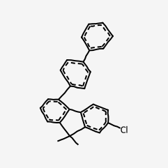 CC1(C)c2cc(Cl)ccc2-c2c(-c3ccc(-c4ccccc4)cc3)cccc21